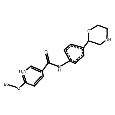 C=C(/C=C\C(=C/N)C(=O)Nc1ccc(C2CNCCO2)cc1)OCC